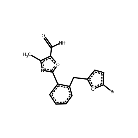 Cc1nc(-c2ccccc2Cc2ccc(Br)o2)oc1C([NH])=O